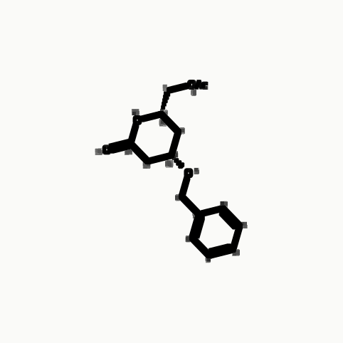 CC(=O)OC[C@@H]1C[C@H](OCc2ccccc2)CC(=O)O1